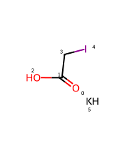 O=C(O)CI.[KH]